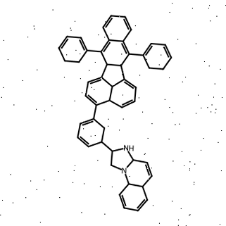 C1=CCCC(C2=c3ccccc3=C(C3=CC=CCC3)C3C4=CC=C(C5=CC=CC(C6CN7C(C=CC8C=CC=CC87)N6)C5)C5C=CC=C(C45)C23)=C1